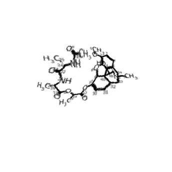 COc1ccc2c3c1OC1C(OC(=O)C(C)OC(=O)[C@H](C)NC(=O)[C@H](C)NC(C)=O)=CCC4C(C2)N(C)CC(O)C314